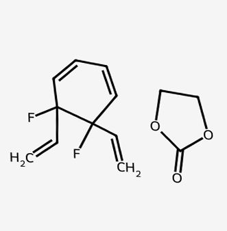 C=CC1(F)C=CC=CC1(F)C=C.O=C1OCCO1